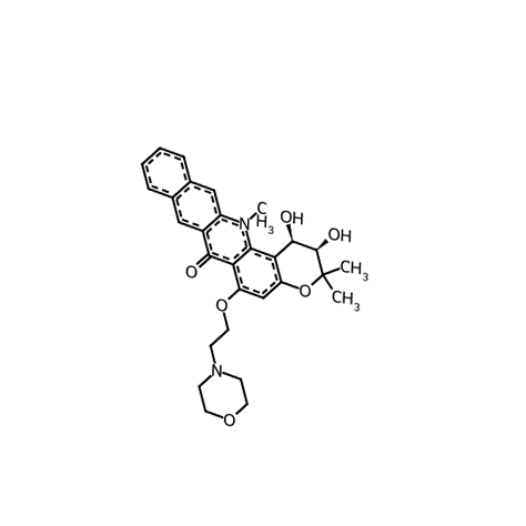 Cn1c2cc3ccccc3cc2c(=O)c2c(OCCN3CCOCC3)cc3c(c21)[C@@H](O)[C@@H](O)C(C)(C)O3